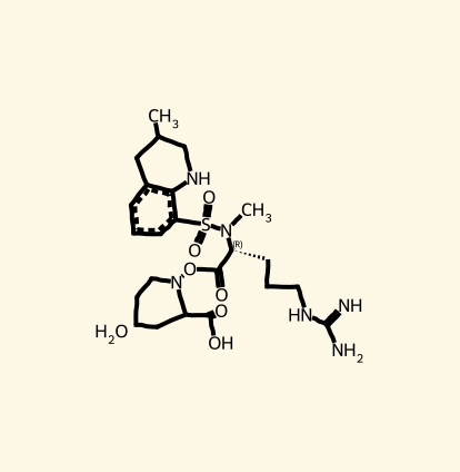 CC1CNc2c(cccc2S(=O)(=O)N(C)[C@H](CCCNC(=N)N)C(=O)ON2CCCCC2C(=O)O)C1.O